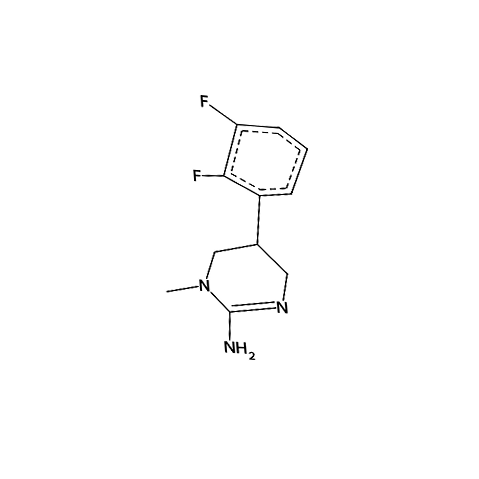 CN1CC(c2cccc(F)c2F)CN=C1N